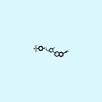 C[C@@H]1C[C@H](COc2ccc(S(C)(=O)=O)cc2)CN1[C@@H]1CCc2ccc(C#N)cc2C1